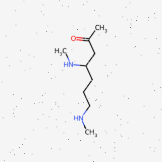 CNCCCC(CC(C)=O)NC